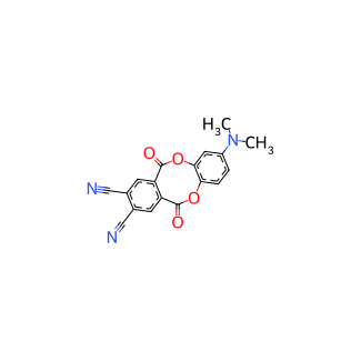 CN(C)c1ccc2c(c1)OC(=O)c1cc(C#N)c(C#N)cc1C(=O)O2